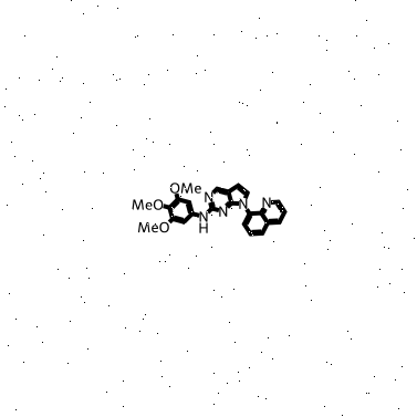 COc1cc(Nc2ncc3ccn(-c4cccc5cccnc45)c3n2)cc(OC)c1OC